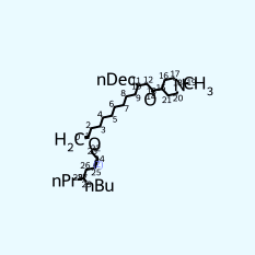 C=C(CCCCCCCCC(CCCCCCCCCC)CC(=O)C1CCN(C)CC1)OC/C=C\CC(CCC)CCCC